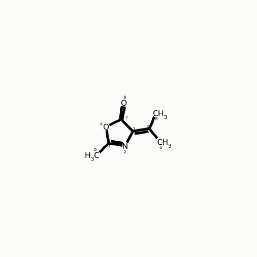 CC1=NC(=C(C)C)C(=O)O1